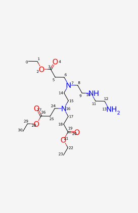 CCOC(=O)CCN(CCNCCN)CCN(CCC(=O)OCC)CCC(=O)OCC